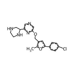 Cc1oc(-c2ccc(Cl)cc2)cc1COc1cncc(C2CNCCN2)n1